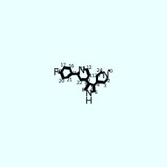 CN1CC=C(c2c[nH]cc2-c2ccnc(-c3ccc(F)cc3)c2)CC1